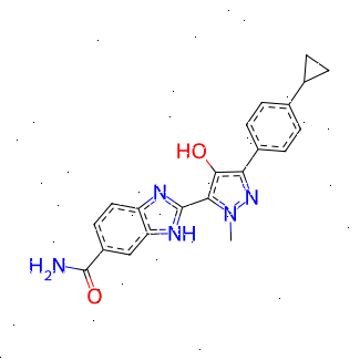 Cn1nc(-c2ccc(C3CC3)cc2)c(O)c1-c1nc2ccc(C(N)=O)cc2[nH]1